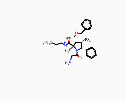 CC[C@H](C)C(OCc1ccccc1)[C@@H]1[C@H]([N+](=O)[O-])[C@H](c2ccccc2)N(C(=O)CN)[C@]1(C)C(=O)NCCC(=O)O